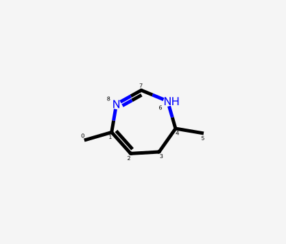 CC1=CCC(C)NC=N1